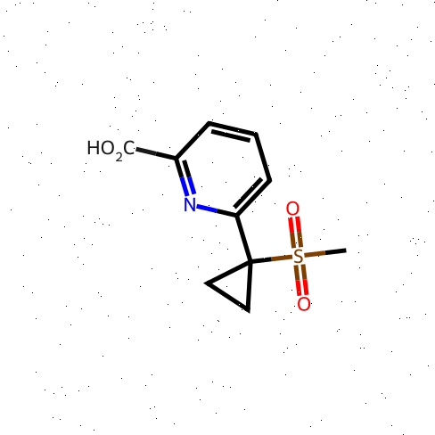 CS(=O)(=O)C1(c2cccc(C(=O)O)n2)CC1